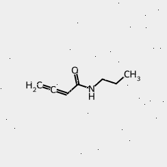 C=C=CC(=O)NCCC